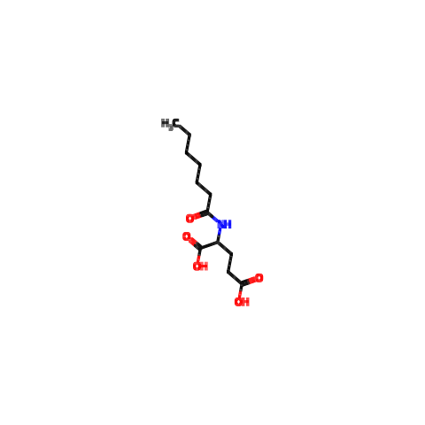 CCCCCCC(=O)NC(CCC(=O)O)C(=O)O